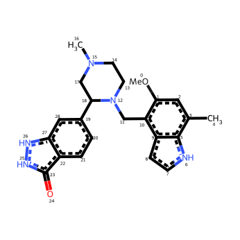 COc1cc(C)c2[nH]ccc2c1CN1CCN(C)CC1c1ccc2c(=O)[nH][nH]c2c1